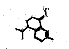 Cc1ccc2c(c1)/C(=N/O)CCC2C(C)C